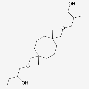 CCC(O)COCC1(C)CCCC(C)(COCC(C)CO)CCC1